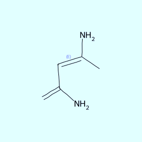 C=C(N)/C=C(\C)N